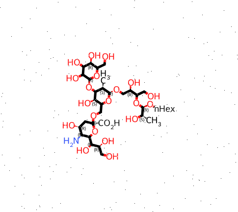 CCCCCCO[C@H](OC(CO)[C@H](O)CO[C@@H]1OC(CO[C@]2(C(=O)O)C[C@@H](O)[C@@H](N)C([C@H](O)[C@H](O)CO)O2)[C@@H](O)C(O[C@@H]2OC(CO)[C@H](O)C(O)C2O)[C@@H]1C)[C@H](C)O